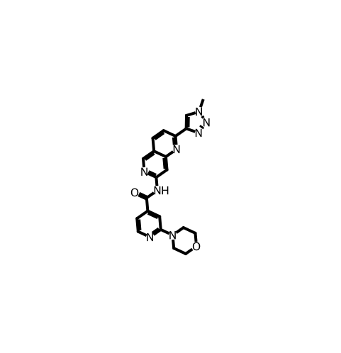 Cn1cc(-c2ccc3cnc(NC(=O)c4ccnc(N5CCOCC5)c4)cc3n2)nn1